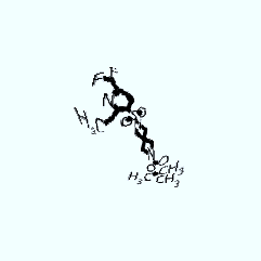 CCc1nc(C(F)F)ccc1S(=O)(=O)N1CC2(CN(C(=O)OC(C)(C)C)C2)C1